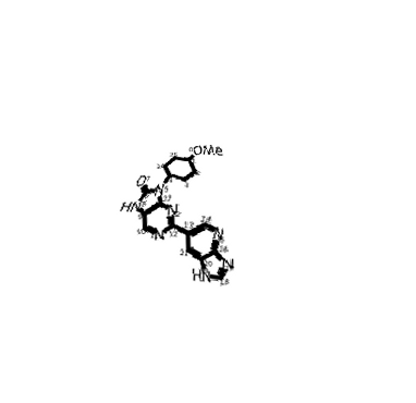 COC1CCC(n2c(=O)[nH]c3cnc(-c4cnc5nc[nH]c5c4)nc32)CC1